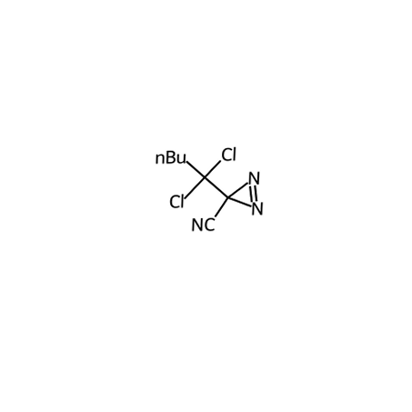 CCCCC(Cl)(Cl)C1(C#N)N=N1